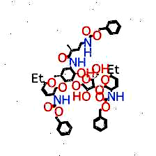 CC[C@H]1C=C[C@@H](NC(=O)OCc2ccccc2)[C@@H](O[C@H]2[C@@H](O)[C@H](O[C@@H]3[C@@H](O)[C@H](NC(=O)[C@@H](C)CCNC(=O)OCc4ccccc4)C[C@H](C)[C@H]3O[C@H]3O[C@H](CC)C=C[C@H]3NC(=O)OCc3ccccc3)O[C@@H]2CO)O1